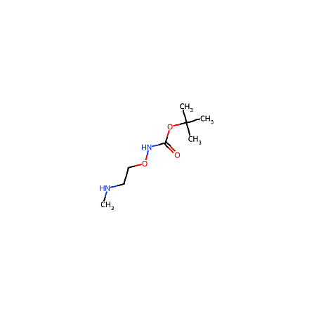 CNCCONC(=O)OC(C)(C)C